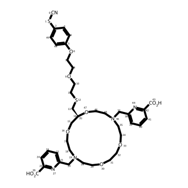 N#CSc1ccc(OCCOCCSC[C@@H]2COCCN(Cc3cccc(C(=O)O)n3)CCOCCOCCN(Cc3cccc(C(=O)O)n3)CCO2)cc1